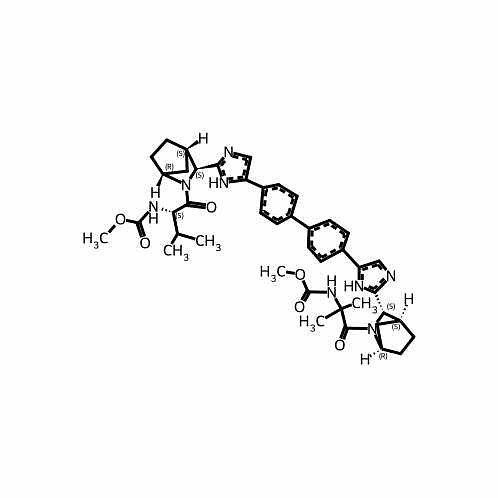 COC(=O)N[C@H](C(=O)N1[C@@H]2CC[C@@H](C2)[C@H]1c1ncc(-c2ccc(-c3ccc(-c4cnc([C@@H]5[C@H]6CC[C@H](C6)N5C(=O)C(C)(C)NC(=O)OC)[nH]4)cc3)cc2)[nH]1)C(C)C